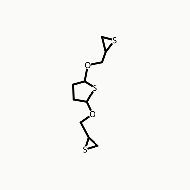 C(OC1CCC(OCC2CS2)S1)C1CS1